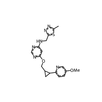 COc1ccc(C2CC2COc2cc(NCc3nnc(C)s3)ncn2)nc1